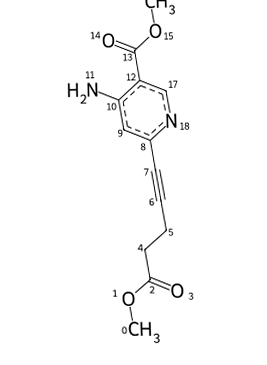 COC(=O)CCC#Cc1cc(N)c(C(=O)OC)cn1